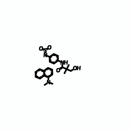 CC(C)(CO)C(=O)Nc1ccc(N=S(=O)=O)cc1.CN(C)c1cccc2ccccc12